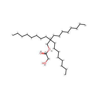 CCCCCCCCC(CCCCCCCC)(CCCCCCCC)COC(=O)CO